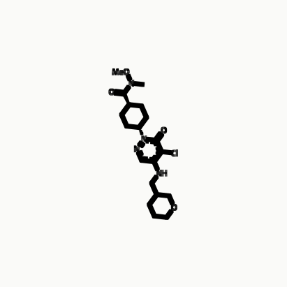 CON(C)C(=O)[C@H]1CC[C@H](n2ncc(NCC3CCCOC3)c(Cl)c2=O)CC1